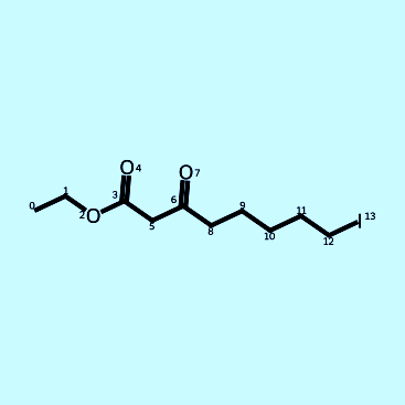 CCOC(=O)CC(=O)CCCCCI